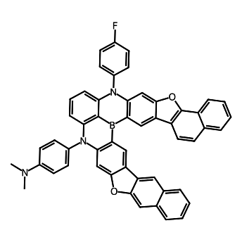 CN(C)c1ccc(N2c3cc4oc5cc6ccccc6cc5c4cc3B3c4cc5c(cc4N(c4ccc(F)cc4)c4cccc2c43)oc2c3ccccc3ccc52)cc1